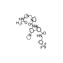 CC(=O)N[C@H]1CCN(Cc2cccc(C(=O)Nc3ccc(N4CCCCC4)cc3-c3cc(C(=O)NCc4cccc(C(F)(F)F)c4)ccn3)n2)C1